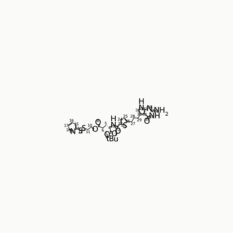 CC(C)(C)OC(=O)[C@H](CCC(=O)OCCSSc1ccccn1)NC(=O)c1ccc(CCCc2c[nH]c3nc(N)[nH]c(=O)c23)s1